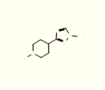 CN1CCC(c2ncn(C)n2)CC1